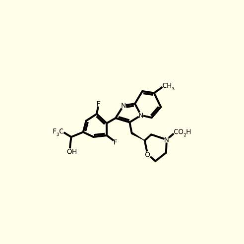 Cc1ccn2c(C[C@H]3CN(C(=O)O)CCO3)c(-c3c(F)cc(C(O)C(F)(F)F)cc3F)nc2c1